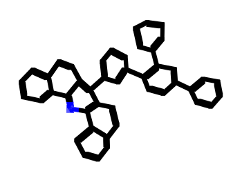 c1ccc(-c2ccc(-c3cccc(-c4c5ccc6ccccc6c5nc5c4ccc4ccccc45)c3)c(-c3ccccc3)c2)cc1